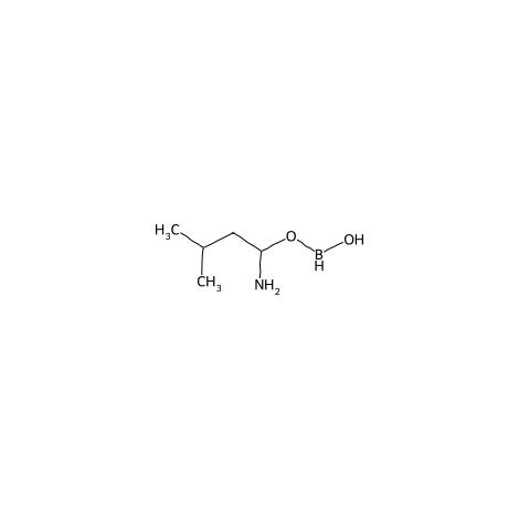 CC(C)CC(N)OBO